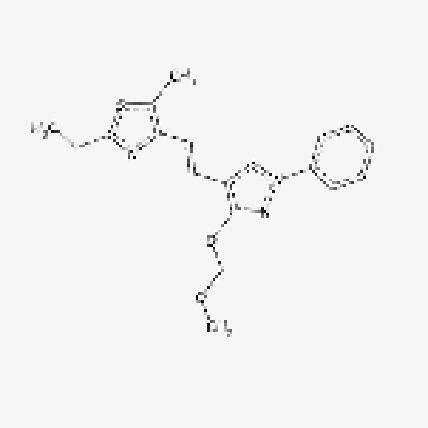 CCc1nc(C=Cc2cn(-c3ccccc3)nc2OCOC)c(C)s1